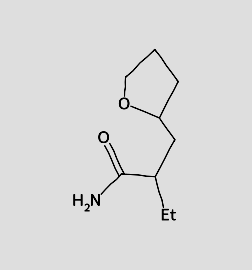 CCC(CC1CCCO1)C(N)=O